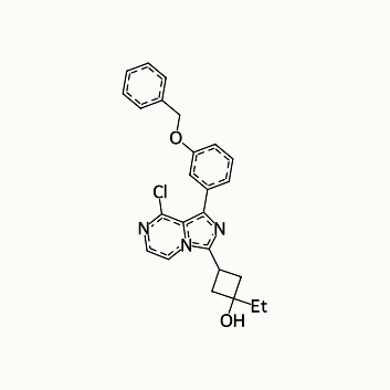 CCC1(O)CC(c2nc(-c3cccc(OCc4ccccc4)c3)c3c(Cl)nccn23)C1